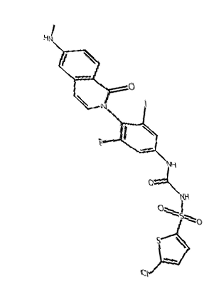 CNc1ccc2c(=O)n(-c3c(F)cc(NC(=O)NS(=O)(=O)c4ccc(Cl)s4)cc3I)ccc2c1